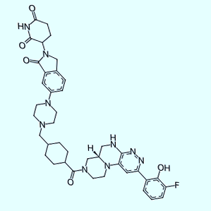 O=C1CCC(N2Cc3ccc(N4CCN(CC5CCC(C(=O)N6CCN7c8cc(-c9cccc(F)c9O)nnc8NC[C@H]7C6)CC5)CC4)cc3C2=O)C(=O)N1